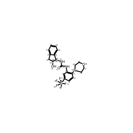 O=C(Nc1cc(S(F)(F)(F)(F)F)ccc1N1CCOCC1)N[C@@H]1c2ccccc2C[C@@H]1O